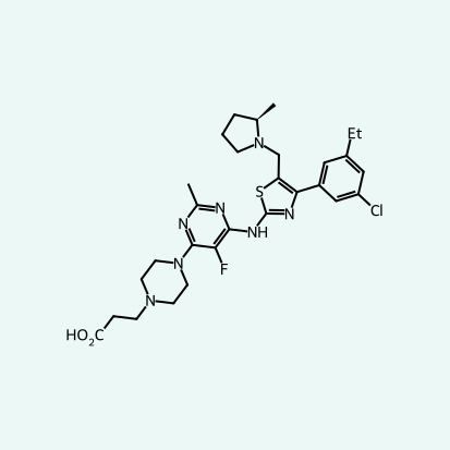 CCc1cc(Cl)cc(-c2nc(Nc3nc(C)nc(N4CCN(CCC(=O)O)CC4)c3F)sc2CN2CCC[C@H]2C)c1